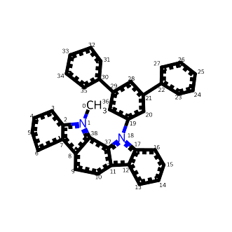 Cn1c2ccccc2c2ccc3c4ccccc4n(-c4cc(-c5ccccc5)cc(-c5ccccc5)c4)c3c21